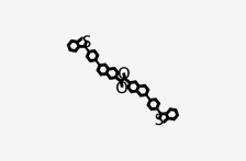 c1ccc2c(-c3ccc(-c4ccc5cc6c(cc5c4)oc4c5cc7ccc(-c8ccc(-c9scc%10ccccc9%10)cc8)cc7cc5oc64)cc3)scc2c1